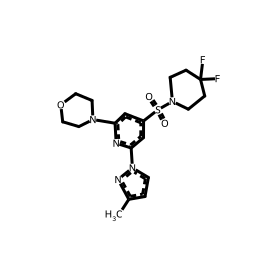 Cc1ccn(-c2cc(S(=O)(=O)N3CCC(F)(F)CC3)cc(N3CCOCC3)n2)n1